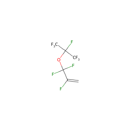 C=C(F)C(F)(F)OC(F)(C(F)(F)F)C(F)(F)F